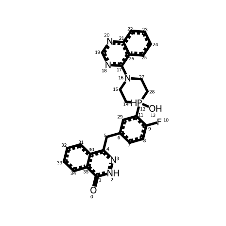 O=c1[nH]nc(Cc2ccc(F)c([PH]3(O)CCN(c4ncnc5ccccc45)CC3)c2)c2ccccc12